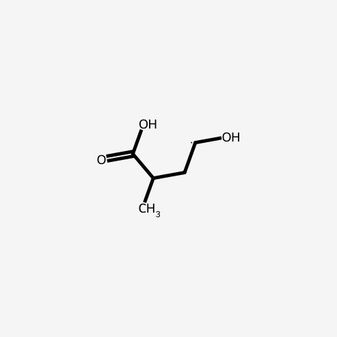 CC(C[CH]O)C(=O)O